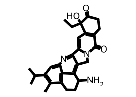 CCC1(O)C(=O)CCc2c1cc1n(c2=O)Cc2c-1nc1cc(C(C)C)c(C)c3c1c2C(N)CC3